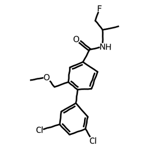 COCc1cc(C(=O)NC(C)CF)ccc1-c1cc(Cl)cc(Cl)c1